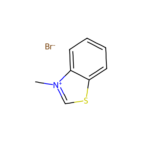 C[n+]1csc2ccccc21.[Br-]